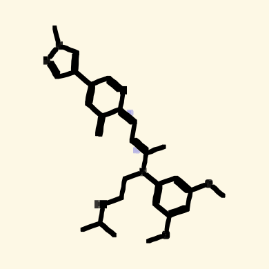 C=c1cc(-c2cnn(C)c2)cn/c1=C/C=C(\C)N(CCNC(C)C)c1cc(OC)cc(OC)c1